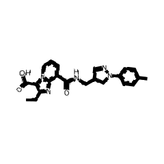 CCc1nc2c(C(=O)NCC3C=NN(c4ccc(C)cc4)C3)cccn2c1C(=O)O